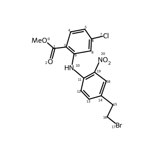 COC(=O)c1ccc(Cl)cc1Nc1ccc(CCBr)cc1[N+](=O)[O-]